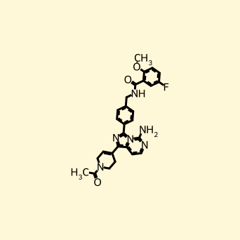 COc1ccc(F)cc1C(=O)NCc1ccc(-c2nc(C3=CCN(C(C)=O)CC3)c3ccnc(N)n23)cc1